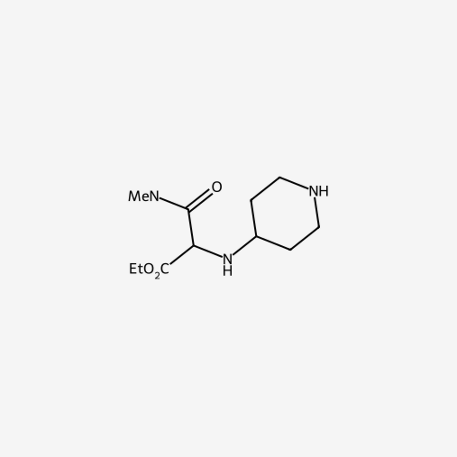 [CH2]NC(=O)C(NC1CCNCC1)C(=O)OCC